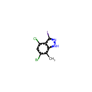 Cc1c(Br)cc(Cl)c2c(I)n[nH]c12